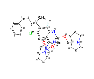 C/C(=C\C=C/c1ccccc1)c1c(Cl)cc2c(N3CC4CCC(C3)N4C(=O)OC(C)(C)C)nc(OCC34CCCN3CCC4)nc2c1F